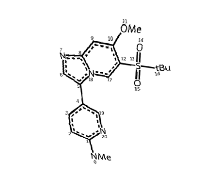 CNc1ccc(-c2cnc3cc(OC)c(S(=O)(=O)C(C)(C)C)cn23)cn1